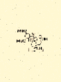 COc1cc(OC)cc(S(=O)(=O)C[C@@H]2[C@@]3(C)CCCC(C)(C)C3CC[C@@]2(C)O)c1